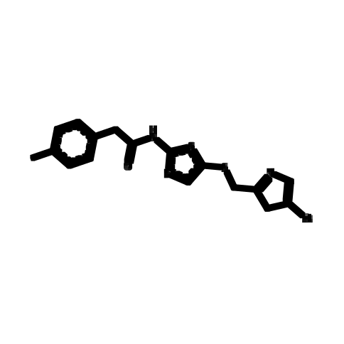 CCC1=CN=C(CSc2cnc(NC(=O)Cc3ccc(C)cc3)s2)C1